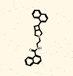 O=C(NCCN1CC2CC(c3cccc4ccccc34)C2C1)c1cccc2ccccc12